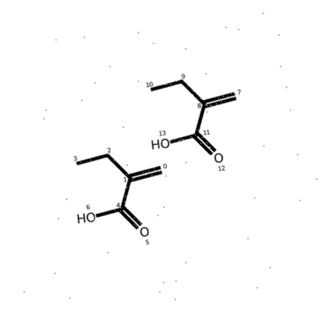 C=C(CC)C(=O)O.C=C(CC)C(=O)O